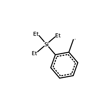 [CH2]c1ccccc1[Si](CC)(CC)CC